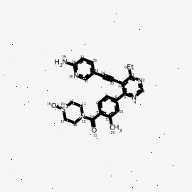 CCc1ncnc(-c2ccc(C(=O)N3CC[S+]([O-])CC3)c(C)c2)c1C#Cc1ccc(N)nc1